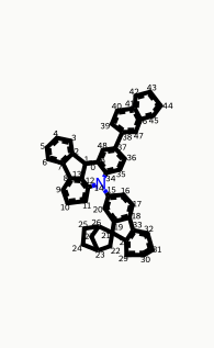 CC12c3ccccc3-c3cccc(c31)N(c1ccc3c(c1)C1(CC4CCC1C4)c1ccccc1-3)c1ccc(-c3ccc4ccccc4c3)cc12